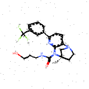 O=C(NCCCO)N1c2nc(-c3cccc(C(F)(F)F)c3)ccc2N2CC[C@@H]1C2